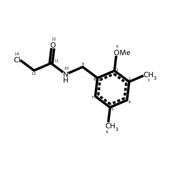 COc1c(C)cc(C)cc1CNC(=O)CCl